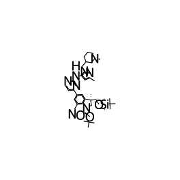 Cc1cc(Nc2nccc(-c3cc(C#N)c4c(c3)[C@@](C)(CO[Si](C)(C)C(C)(C)C)CN4C(=O)OC(C)(C)C)n2)n(CC2CCCN(C)C2)n1